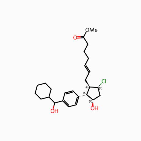 COC(=O)CCCC=CC[C@@H]1[C@@H](c2ccc(C(O)C3CCCCC3)cc2)[C@H](O)C[C@H]1Cl